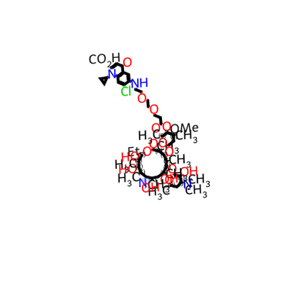 CC[C@H]1OC(=O)[C@H](C)[C@@H](OC2C[C@@](C)(OC)[C@@H](OC(=O)CCOCCOCCNc3cc4c(=O)c(C(=O)O)cn(C5CC5)c4cc3Cl)[C@H](C)O2)[C@H](C)[C@@H](OC2O[C@H](C)C[C@H](N(C)C)[C@H]2O)[C@](C)(O)C[C@@H](C)/C(=N\O)[C@H](C)[C@@H](O)[C@]1(C)O